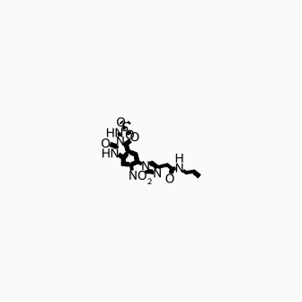 C=CCNC(=O)Cc1cn(-c2cc3c(=O)n(NS(C)(=O)=O)c(=O)[nH]c3cc2[N+](=O)[O-])cn1